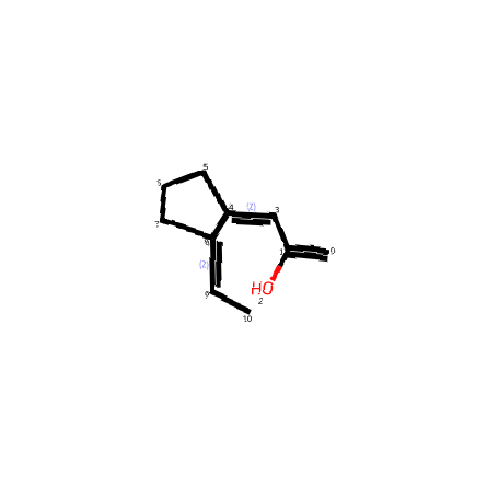 C=C(O)/C=C1/CCC/C1=C/C